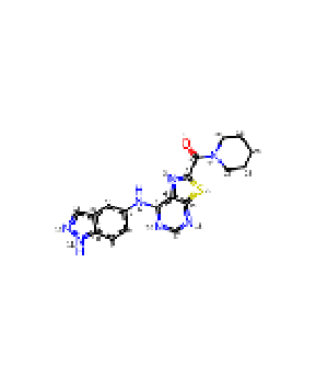 O=C(c1nc2c(Nc3ccc4[nH]ncc4c3)ncnc2s1)N1CCCCC1